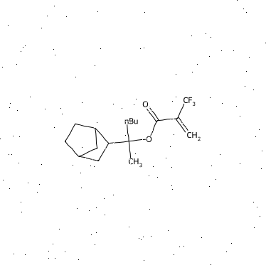 C=C(C(=O)OC(C)(CCCC)C1CC2CCC1C2)C(F)(F)F